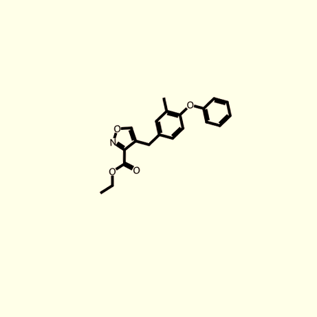 CCOC(=O)c1nocc1Cc1ccc(Oc2ccccc2)c(C)c1